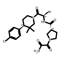 CC(C)[C@@H](NC(=O)[C@@H]1CCN(C(=O)C(N)=O)C1)C(=O)N1CC[C@H](c2ccc(Cl)cc2)C(C)(C)C1